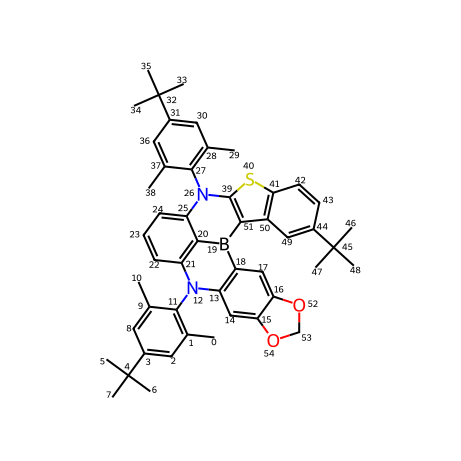 Cc1cc(C(C)(C)C)cc(C)c1N1c2cc3c(cc2B2c4c1cccc4N(c1c(C)cc(C(C)(C)C)cc1C)c1sc4ccc(C(C)(C)C)cc4c12)OCO3